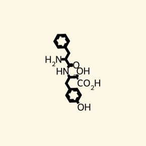 NC(Cc1ccccc1)C(=O)NC(Cc1ccc(O)cc1)[C@@H](O)C(=O)O